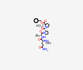 CCCCN[C@@H](CCC(N)=O)C(=O)N[C@H](C(=O)N1CCC[C@H]1C(=O)N1CCC[C@]1(C(=O)O)C(=O)OCc1ccccc1)[C@@H](C)CC